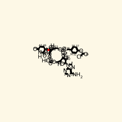 Nc1ncnc2c1ncn2[C@@H]1O[C@@H]2COP(=O)(O)O[C@@H]3[C@H](F)[C@@H](COP(=O)(SCc4ccc(OC(=O)Cl)cc4)O[C@H]2[C@H]1F)ON3[C@H]1C=CC(=O)NC1=O